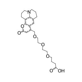 O=C(O)CCCOCCOCCOCc1cc(=O)oc2c3c4c(cc12)CCCN4CCC3